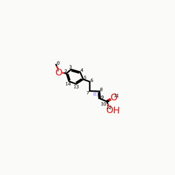 COc1ccc(CC/C=C/C(=O)O)cc1